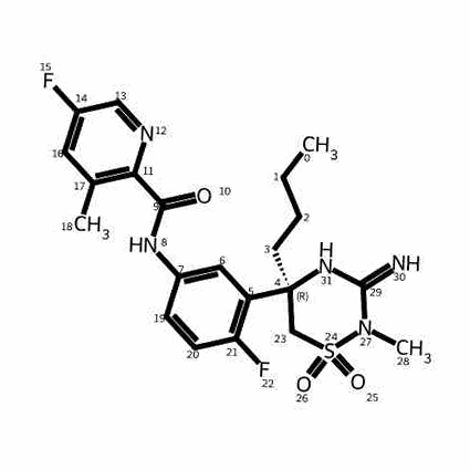 CCCC[C@@]1(c2cc(NC(=O)c3ncc(F)cc3C)ccc2F)CS(=O)(=O)N(C)C(=N)N1